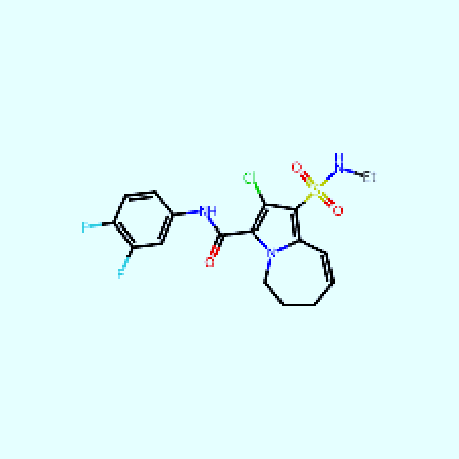 CCNS(=O)(=O)c1c(Cl)c(C(=O)Nc2ccc(F)c(F)c2)n2c1C=CCCC2